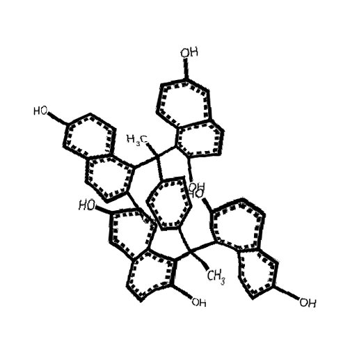 CC(c1ccc(C(C)(c2c(O)ccc3cc(O)ccc23)c2c(O)ccc3cc(O)ccc23)cc1)(c1c(O)ccc2cc(O)ccc12)c1c(O)ccc2cc(O)ccc12